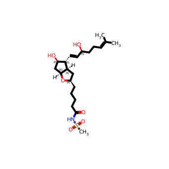 CC(C)=CCC[C@H](O)C=C[C@@H]1[C@H]2C[C@@H](CCCCC(=O)NS(C)(=O)=O)O[C@H]2C[C@H]1O